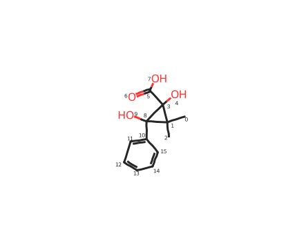 CC1(C)C(O)(C(=O)O)C1(O)c1ccccc1